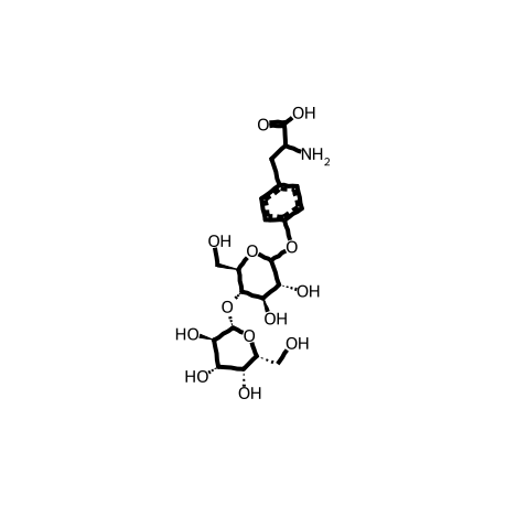 NC(Cc1ccc(OC2O[C@H](CO)[C@@H](O[C@@H]3O[C@H](CO)[C@H](O)[C@H](O)[C@H]3O)[C@H](O)[C@H]2O)cc1)C(=O)O